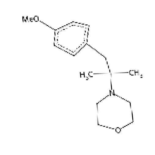 COc1ccc(CC(C)(C)N2CCOCC2)cc1